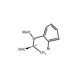 CON(c1ccccc1Br)[C@@H](C)[C]=O